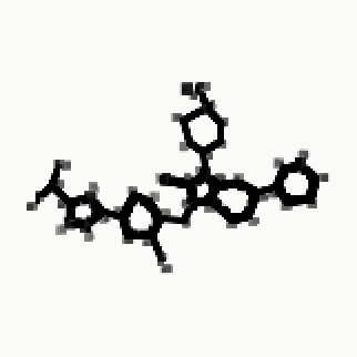 CN1CCC(n2c(=O)n(Cc3ccc(-c4nnc(C(F)F)o4)cc3F)c3ccc(-c4cccnc4)cc32)CC1